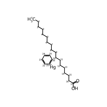 CCCCCCCCCCCCCCCCCC(=O)O.[Hg].c1ccccc1